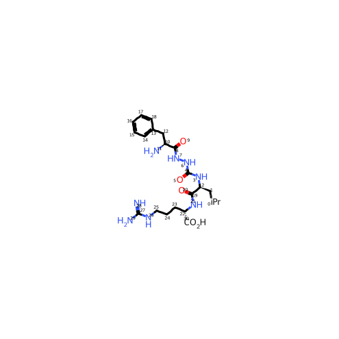 CC(C)C[C@H](NC(=O)NNC(=O)[C@@H](N)Cc1ccccc1)C(=O)N[C@@H](CCCNC(=N)N)C(=O)O